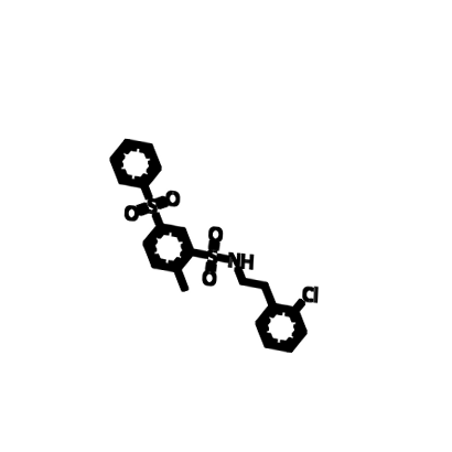 Cc1ccc(S(=O)(=O)c2ccccc2)cc1S(=O)(=O)NCCc1ccccc1Cl